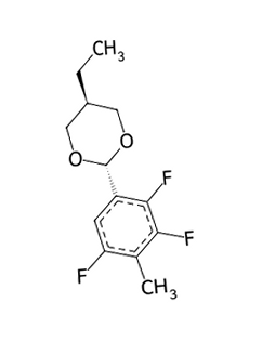 CC[C@H]1CO[C@H](c2cc(F)c(C)c(F)c2F)OC1